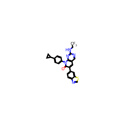 O=c1c(-c2ccc3ncsc3c2)cc2cnc(NCC(F)(F)F)nc2n1-c1ccc(C2CC2)cc1